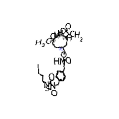 C=C1C(=O)O[C@H]2[C@H]1CC/C(COC(=O)NCc1ccc(Cn3c(=O)sn(CCCI)c3=O)cc1)=C\CC[C@@]1(C)O[C@@H]21